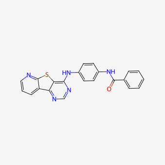 O=C(Nc1ccc(Nc2ncnc3c2sc2ncccc23)cc1)c1ccccc1